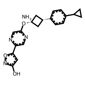 N.Oc1cc(-c2cnc(O[C@H]3C[C@@H](c4ccc(C5CC5)cc4)C3)cn2)on1